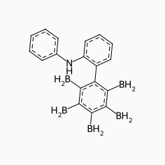 Bc1c(B)c(B)c(-c2ccccc2Nc2ccccc2)c(B)c1B